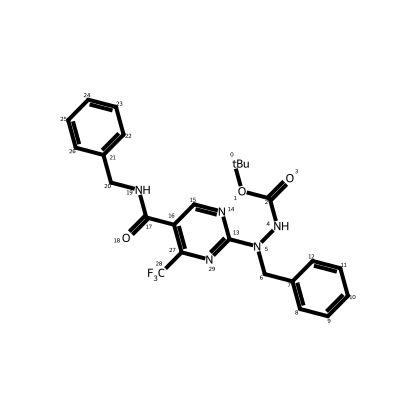 CC(C)(C)OC(=O)NN(Cc1ccccc1)c1ncc(C(=O)NCc2ccccc2)c(C(F)(F)F)n1